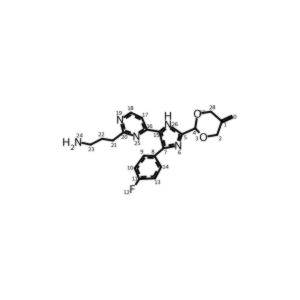 C=C1COC(c2nc(-c3ccc(F)cc3)c(-c3ccnc(CCCN)n3)[nH]2)OC1